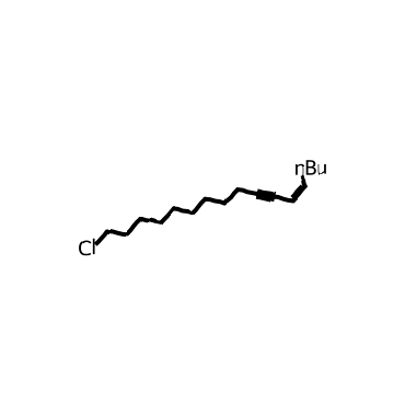 CCCC/C=C\C#CCCCCCCCCCCl